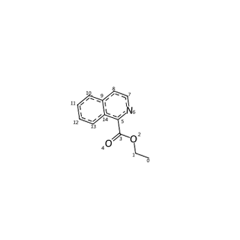 CCOC(=O)c1nccc2[c]cccc12